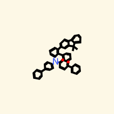 CC1(C)c2ccccc2-c2ccc(-c3cccc(N(c4ccc(-c5ccccc5)cc4)c4ccc(-c5ccccc5)cc4)c3-c3ccccc3)cc21